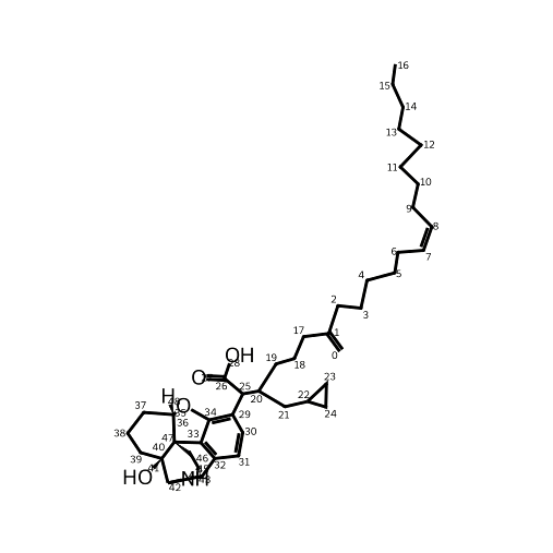 C=C(CCCCC/C=C\CCCCCCCC)CCCC(CC1CC1)C(C(=O)O)c1ccc2c3c1O[C@H]1CCC[C@@]4(O)C(C2)NCC[C@]314